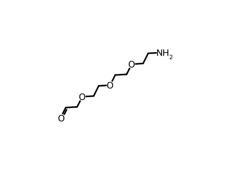 NCCOCCOCCOCC=O